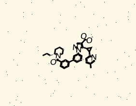 CCC[C@@H]1CCCCN1C(=O)c1cccc(-c2cccc(-n3ncc(C(=O)OC)c3C3CC3c3ccc(C)cn3)c2)c1